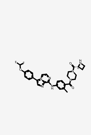 Cc1cc(Nc2nccn3c(-c4ccc(OC(F)F)cc4)cnc23)ccc1C(=O)N1CCN(C(=O)[C@H]2CCN2)CC1